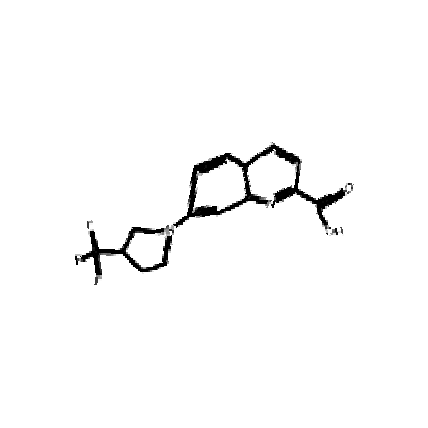 O=C(O)C1=NC2C=C(N3CCC(C(F)(F)F)C3)C=CC2C=C1